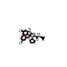 O=C(CN(C1CCCC1)C1(Cc2cccc(Cl)c2)C(=O)Nc2cc(Cl)ccc21)NC1CC1